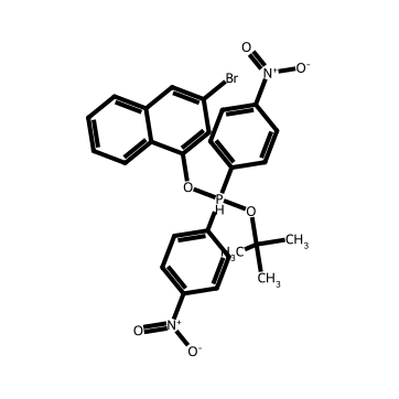 CC(C)(C)O[PH](Oc1cc(Br)cc2ccccc12)(c1ccc([N+](=O)[O-])cc1)c1ccc([N+](=O)[O-])cc1